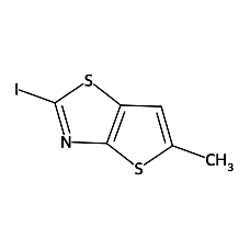 Cc1cc2sc(I)nc2s1